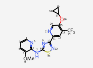 COc1cccnc1Nc1nc(-c2cc(C(F)(F)F)c(OC3CC3)cn2)ns1